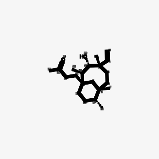 C=C[C@]1(C)CC[C@@]2(C)C[C@](CCC(C)=O)(CC[C@H]2C)[C@@H](C)[C@@H]1O